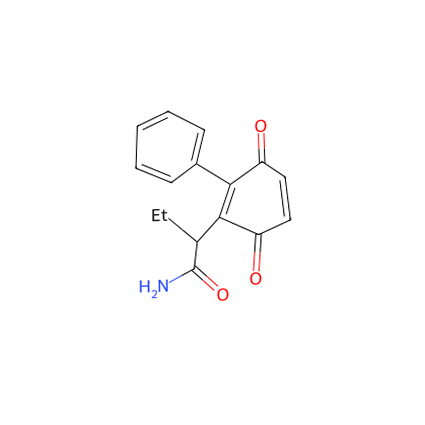 CCC(C(N)=O)C1=C(c2ccccc2)C(=O)C=CC1=O